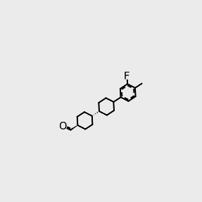 Cc1ccc(C2CCC([C@H]3CC[C@H](C=O)CC3)CC2)cc1F